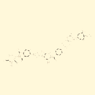 C[C@H]1CC2(CCN(c3ccc(C(=O)N4C[C@H]5C[C@@H]4CN5C4CN(c5ccc6c(c5)C(=O)N(C5CCC(=O)NC5=O)C6=O)C4)cc3)CC2)CN1c1ccc(C#N)c(Cl)c1